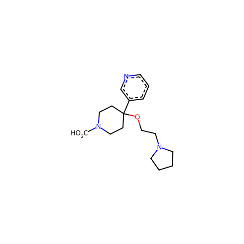 O=C(O)N1CCC(OCCN2CCCC2)(c2cccnc2)CC1